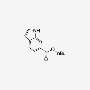 CCCCOC(=O)c1ccc2cc[nH]c2c1